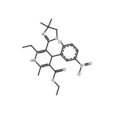 CCOC(=O)C1=C(C)NC(CC)=C(C2=NC(C)(C)CO2)C1c1cc([N+](=O)[O-])ccc1Cl